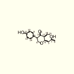 C=C(O)/C=C1/OCC(c2ccc(O)cc2)C(=O)/C1=C/C